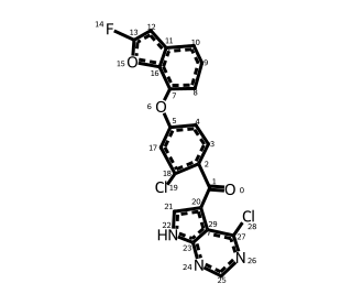 O=C(c1ccc(Oc2cccc3cc(F)oc23)cc1Cl)c1c[nH]c2ncnc(Cl)c12